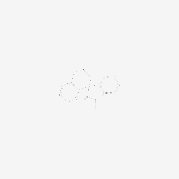 O=C1Nc2ccccc2C12C=CCc1ccccc12